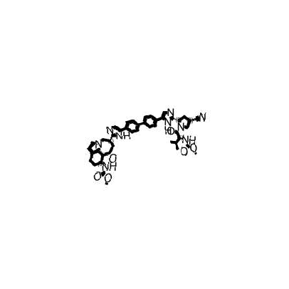 COC(=O)N[C@H]1CCc2ccn3c2C1C(=O)C[C@H](c1ncc(-c2ccc(-c4ccc(-c5cnc([C@@H]6C[C@@H](C#N)CN6C(=O)[C@@H](NC(=O)OC)C(C)C)[nH]5)cc4)cc2)[nH]1)C3